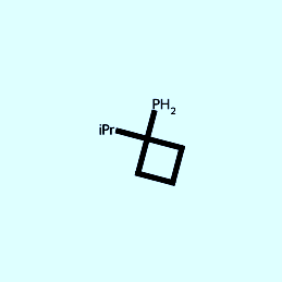 CC(C)C1(P)CCC1